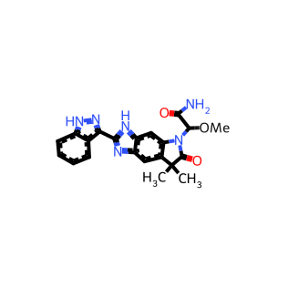 COC(C(N)=O)N1C(=O)C(C)(C)c2cc3nc(-c4n[nH]c5ccccc45)[nH]c3cc21